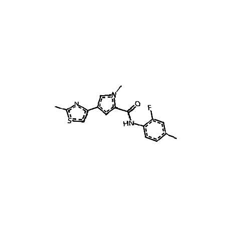 Cc1ccc(NC(=O)c2cc(-c3csc(C)n3)cn2C)c(F)c1